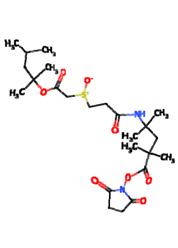 CC(C)CC(C)(C)OC(=O)C[S+]([O-])CCC(=O)NC(C)(C)CC(C)(C)C(=O)ON1C(=O)CCC1=O